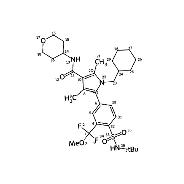 COC(F)(F)c1cc(-c2c(C)c(C(=O)NC3CCOCC3)c(C)n2CC2CCCCC2)ccc1S(=O)(=O)NC(C)(C)C